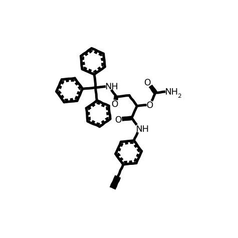 C#Cc1ccc(NC(=O)C(CC(=O)NC(c2ccccc2)(c2ccccc2)c2ccccc2)OC(N)=O)cc1